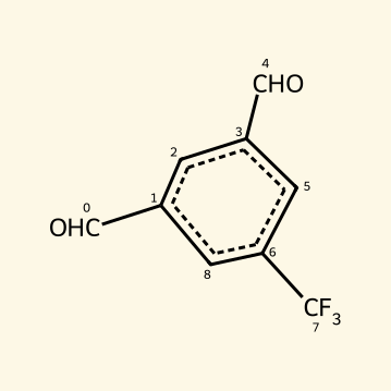 O=Cc1cc(C=O)cc(C(F)(F)F)c1